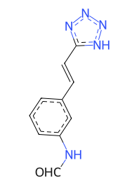 O=CNc1cccc(/C=C/c2nnn[nH]2)c1